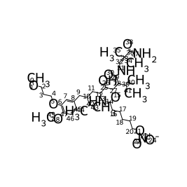 COCCCOc1cc(CC(CC(NC(=O)CCCCCO[N+](=O)[O-])C(O)CC(C(=O)NCC(C)(C)C(N)=O)C(C)C)C(C)C)ccc1OC